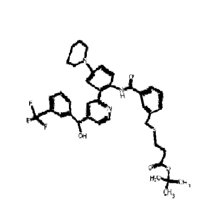 CC(C)(C)OC(=O)CCSCc1cccc(C(=O)Nc2ccc(N3CCCCC3)cc2-c2cc(C(O)c3cccc(C(F)(F)F)c3)ccn2)c1